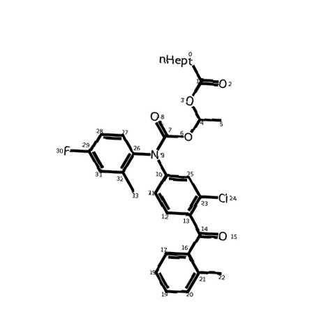 CCCCCCCC(=O)OC(C)OC(=O)N(c1ccc(C(=O)c2ccccc2C)c(Cl)c1)c1ccc(F)cc1C